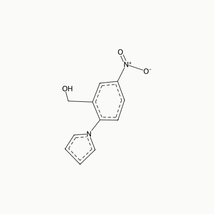 O=[N+]([O-])c1ccc(-n2cccc2)c(CO)c1